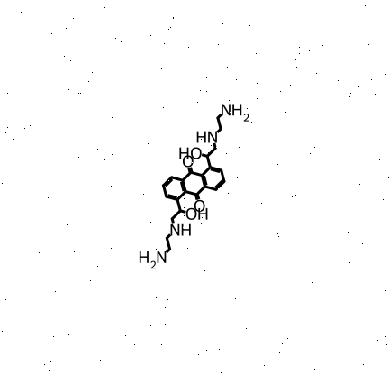 NCCNCC(O)c1cccc2c1C(=O)c1cccc(C(O)CNCCN)c1C2=O